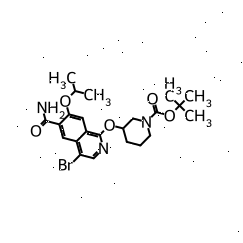 CC(C)Oc1cc2c(OC3CCCN(C(=O)OC(C)(C)C)C3)ncc(Br)c2cc1C(N)=O